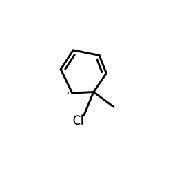 CC1(Cl)[CH]C=CC=C1